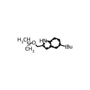 C[SiH](C)OCc1cc2cc(C(C)(C)C)ccc2[nH]1